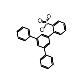 O=S(=O)(Cl)c1ccccc1-c1cc(-c2ccccc2)cc(-c2ccccc2)c1